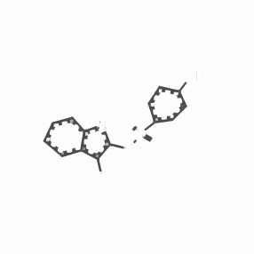 Cc1ccc(S(=O)(=O)Oc2[nH]c3ccccc3c2O)cc1